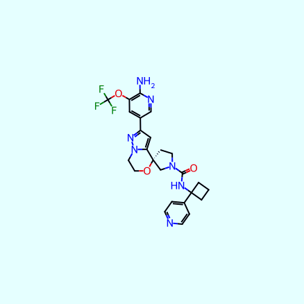 Nc1ncc(-c2cc3n(n2)CCO[C@@]32CCN(C(=O)NC3(c4ccncc4)CCC3)C2)cc1OC(F)(F)F